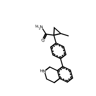 CC1CC1(C(N)=O)c1ccc(-c2cccc3c2CNCC3)cc1